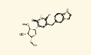 COC1[C@@H](O)[C@@H](CO)O[C@H]1n1cc(Cc2ccc3[nH]ccc3c2)c(=O)[nH]c1=O